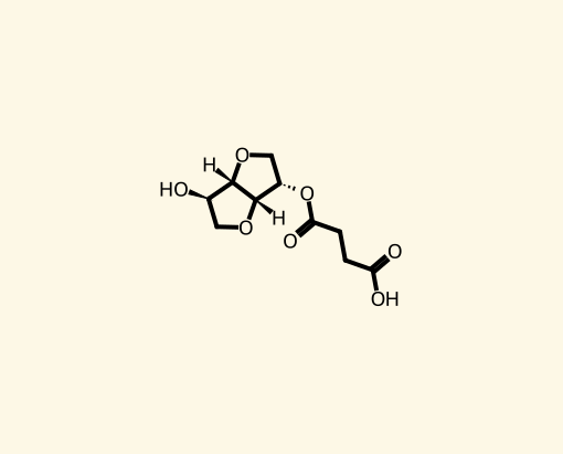 O=C(O)CCC(=O)O[C@H]1CO[C@@H]2[C@H]1OC[C@H]2O